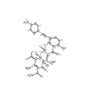 CN(C)[C@@H]1C(O)=C(C(N)=O)C(=O)[C@@]2(O)C(O)=C3C(=O)c4c(O)ccc(C#Cc5ccc(N)cc5)c4C[C@H]3C[C@@H]12